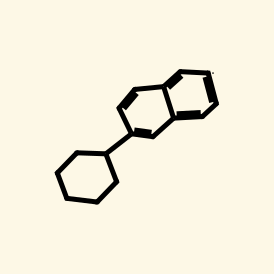 [c]1ccc2cc(C3CCCCC3)ccc2c1